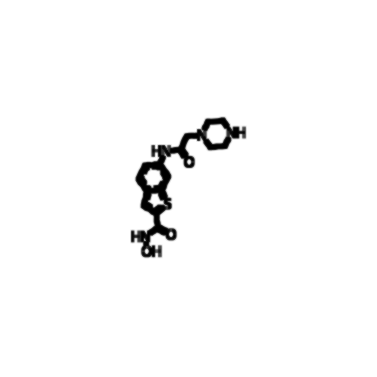 O=C(CN1CCNCC1)Nc1ccc2cc(C(=O)NO)sc2c1